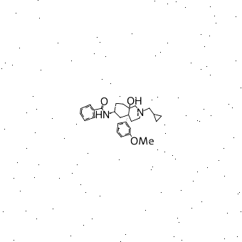 COc1cccc([C@@]23CCN(CC4CC4)C[C@@]2(O)CC[C@H](NC(=O)c2ccccc2)C3)c1